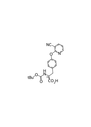 CC(C)(C)OC(=O)N[C@@H](Cc1ccc(Oc2ncccc2C#N)cc1)C(=O)O